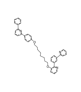 c1ccc(-c2cccc(-c3ccc(OCCCCCCCCOc4cccnc4-c4cccc(-c5ccccn5)c4)cc3)n2)cc1